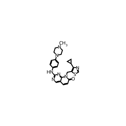 CN1CCN(c2ccc(Nc3ncc4ccc(=O)n(Cc5scnc5C5CC5)c4n3)cc2)CC1